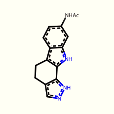 CC(=O)Nc1ccc2c3c([nH]c2c1)-c1[nH]ncc1CC3